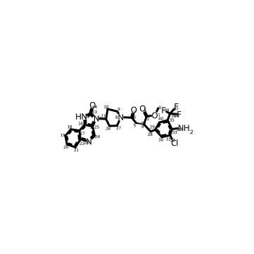 COC(=O)[C@H](CC(=O)N1CCC(n2c(=O)[nH]c3c4ccccc4ncc32)CC1)Cc1cc(Cl)c(N)c(C(F)(F)F)c1